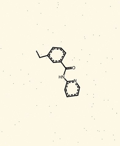 CCc1cccc(C(=O)Nc2ccccn2)c1